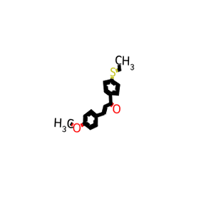 CCSc1ccc(C(=O)C=Cc2ccc(OC)cc2)cc1